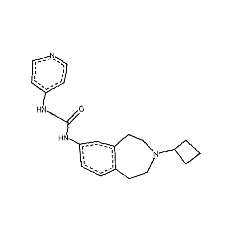 O=C(Nc1ccncc1)Nc1ccc2c(c1)CCN(C1CCC1)CC2